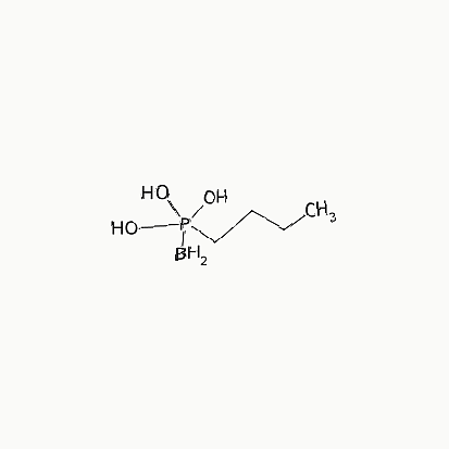 BP(O)(O)(O)CCCC